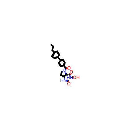 CCCc1ccc(-c2ccc(C(=O)N3CC[C@H](NC=O)[C@H]3C(=O)NO)cc2)cc1